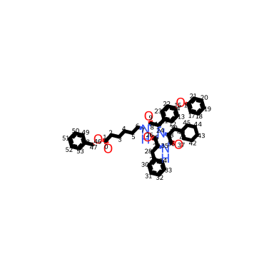 O=C(CCCCCNC(=O)C(c1ccc(Oc2ccccc2)cc1)N1C(=O)C(Cc2ccccc2)NC(=O)C1CC1CCCCC1)OCc1ccccc1